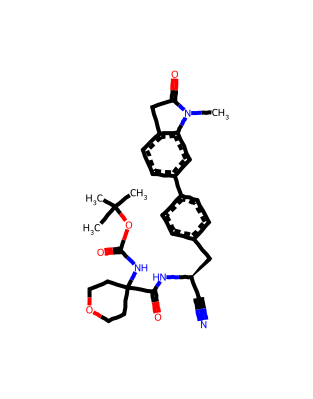 CN1C(=O)Cc2ccc(-c3ccc(C[C@@H](C#N)NC(=O)C4(NC(=O)OC(C)(C)C)CCOCC4)cc3)cc21